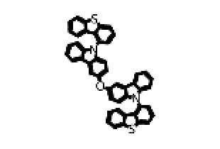 c1ccc2c(c1)sc1cccc(-n3c4ccccc4c4cc(Oc5ccc6c(c5)c5ccccc5n6-c5cccc6sc7ccccc7c56)ccc43)c12